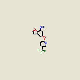 Nc1cc(Oc2ccc(C(F)(F)F)cn2)cc2ccoc12